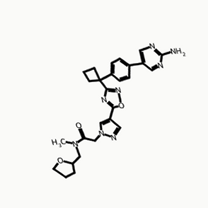 CN(CC1CCCO1)C(=O)Cn1cc(-c2nc(C3(c4ccc(-c5cnc(N)nc5)cc4)CCC3)no2)cn1